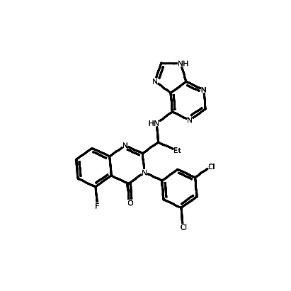 CCC(Nc1ncnc2[nH]cnc12)c1nc2cccc(F)c2c(=O)n1-c1cc(Cl)cc(Cl)c1